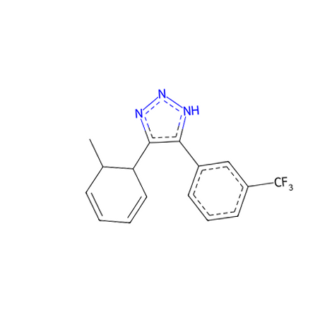 CC1C=CC=CC1c1nn[nH]c1-c1cccc(C(F)(F)F)c1